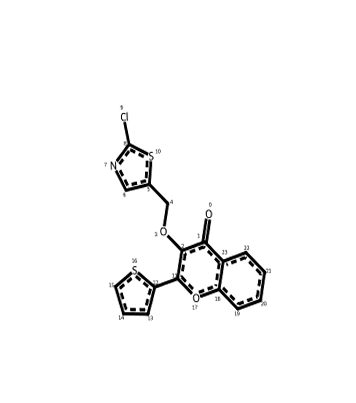 O=c1c(OCc2cnc(Cl)s2)c(-c2cccs2)oc2ccccc12